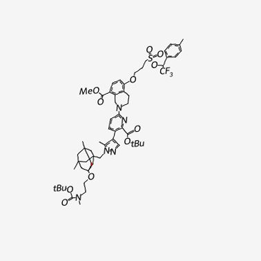 COC(=O)c1ccc(OCCCS(=O)(=O)OC(c2ccc(C)cc2)C(F)(F)F)c2c1CN(c1ccc(-c3cnn(CC45CC6(C)CC(C)(C4)CC(OCCN(C)C(=O)OC(C)(C)C)(C6)C5)c3C)c(C(=O)OC(C)(C)C)n1)CC2